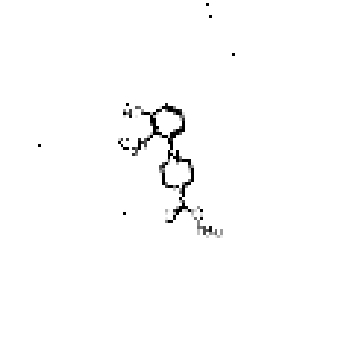 CC(=O)c1cccc(N2CCN(C(=O)OC(C)(C)C)CC2)c1[N+](=O)[O-]